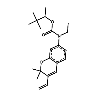 C=CC1=Cc2ccc(N(CC)C(=O)OC(C)C(C)(C)C)cc2OC1(C)C